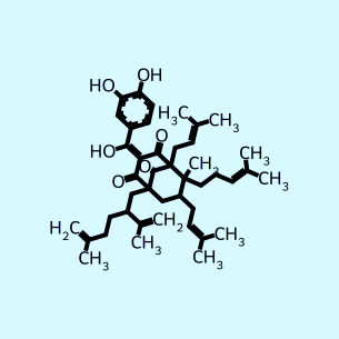 C=C(C)CCC(CC12CC(CC=C(C)C)C(C)(CCC=C(C)C)C(CC=C(C)C)(C(=O)C(=C(O)c3ccc(O)c(O)c3)C1=O)C2=O)C(=C)C